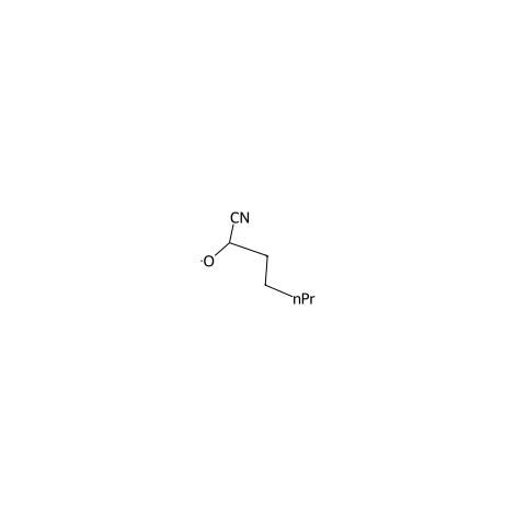 CCCCCC([O])C#N